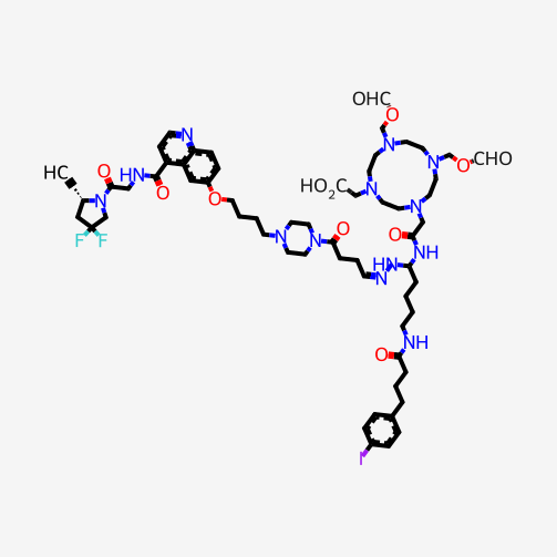 C#C[C@H]1CC(F)(F)CN1C(=O)CNC(=O)c1ccnc2ccc(OCCCCN3CCN(C(=O)CC/C=N\NC(CCCCNC(=O)CCCc4ccc(I)cc4)NC(=O)CN4CCN(COC=O)CCN(COC=O)CCN(CC(=O)O)CC4)CC3)cc12